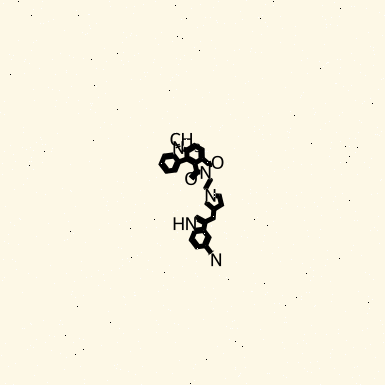 Cn1c2ccccc2c2c3c(ccc21)C(=O)N(CCN1CCC(Cc2c[nH]c4ccc(C#N)cc24)C1)C3=O